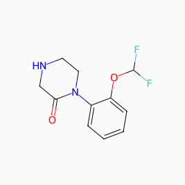 O=C1CNCCN1c1ccccc1OC(F)F